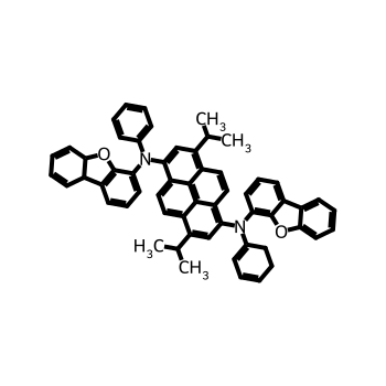 CC(C)c1cc(N(C2=CC=CCC2)c2cccc3c2oc2ccccc23)c2ccc3c(C(C)C)cc(N(c4ccccc4)c4cccc5c4OC4C=CC=CC54)c4ccc1c2c34